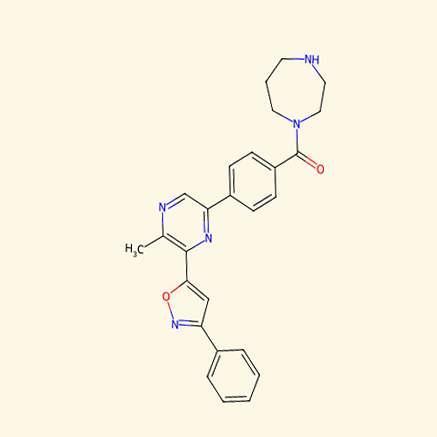 Cc1ncc(-c2ccc(C(=O)N3CCCNCC3)cc2)nc1-c1cc(-c2ccccc2)no1